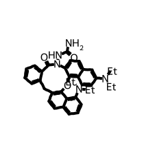 CCN(CC)c1ccc2c3c(ccc2c1)N(NC(N)=O)C(=O)c1ccccc1Cc1ccc2cccc(N(CC)CC)c2c1O3